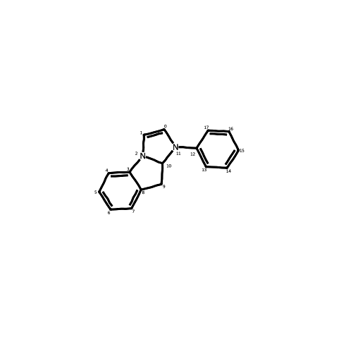 C1=CN2c3ccccc3CC2N1c1ccccc1